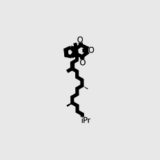 CC(=CCC12C(=O)C3(C)OC3(C)C(=O)C1(C)C1C=CC2C1)CCC[C@H](C)CCC[C@H](C)CCCC(C)C